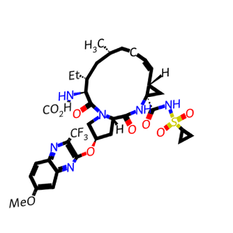 CC[C@@H]1C[C@H](C)CCC=C[C@@H]2C[C@@]2(C(=O)NS(=O)(=O)C2CC2)NC(=O)[C@@H]2C[C@@H](Oc3nc4cc(OC)ccc4nc3C(F)(F)F)CN2C(=O)[C@H]1NC(=O)O